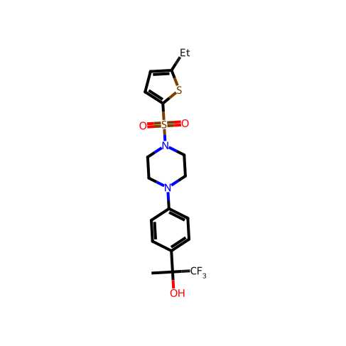 CCc1ccc(S(=O)(=O)N2CCN(c3ccc(C(C)(O)C(F)(F)F)cc3)CC2)s1